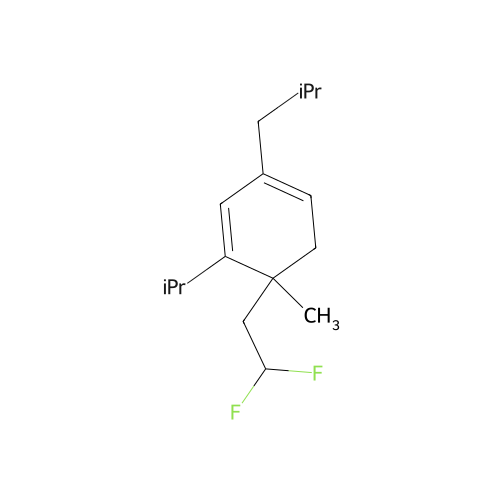 CC(C)CC1=CCC(C)(CC(F)F)C(C(C)C)=C1